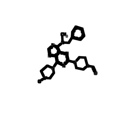 CN(Cc1ccccc1)c1ncnc2c(N3CC[S+]([O-])CC3)nc(N3CCN(C=O)CC3)nc12